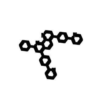 c1ccc(-c2cc(-c3ccc(-c4ccccn4)cc3)c3ccc4c(-c5ccc(-c6ccccn6)cc5)ccnc4c3n2)cc1